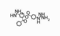 N=C(N)Nc1ccc(C(=O)Oc2ccc(C(=N)N)cc2C(=O)c2ccccc2)cc1